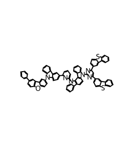 c1ccc(-c2ccc3oc4ccc(-n5c6ccccc6c6cc(-c7cccc(-n8c9ccccc9c9ccc%10c(c%11ccccc%11n%10-c%10nc(-c%11ccc%12sc%13ccccc%13c%12c%11)cc(-c%11ccc%12sc%13ccccc%13c%12c%11)n%10)c98)n7)ccc65)cc4c3c2)cc1